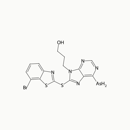 OCCCn1c(Sc2nc3cccc(Br)c3s2)nc2c([AsH2])ncnc21